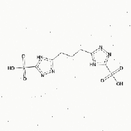 O=S(=O)(O)c1nnc(CCCc2nnc(S(=O)(=O)O)[nH]2)[nH]1